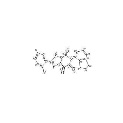 O=c1[nH]c2cc(-c3ccccc3Cl)sc2c(=O)n1-c1cccc2c1CCC2